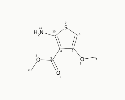 COC(=O)c1c(OC)csc1N